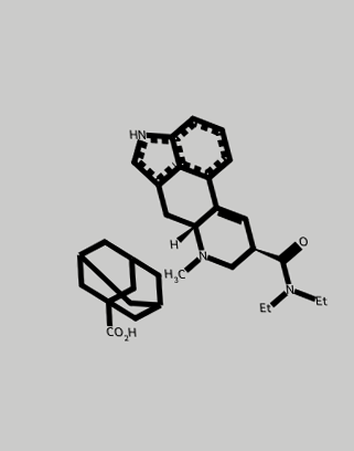 CCN(CC)C(=O)[C@@H]1C=C2c3cccc4[nH]cc(c34)C[C@H]2N(C)C1.O=C(O)C12CC3CC(CC(C3)C1)C2